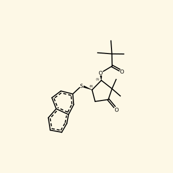 CC(C)(C)C(=O)O[C@@H]1[C@H](Sc2ccc3ccccc3c2)CC(=O)C1(C)C